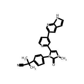 Cn1cc(-c2cc(-c3cnc4[nH]ccc4c3)ccn2)n(-c2ccc(C(C)(C)C#N)cc2)c1=O